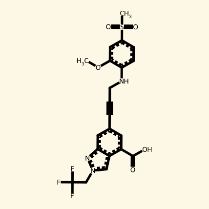 COc1cc(S(C)(=O)=O)ccc1NCC#Cc1cc(C(=O)O)c2cn(CC(F)(F)F)nc2c1